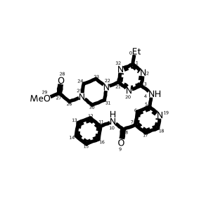 CCc1nc(Nc2cc(C(=O)Nc3ccccc3)ccn2)nc(N2CCN(CC(=O)OC)CC2)n1